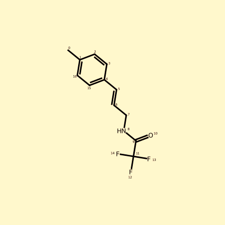 Cc1ccc(C=CCNC(=O)C(F)(F)F)cc1